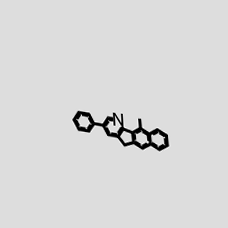 Cc1c2c(cc3ccccc13)Cc1cc(-c3ccccc3)cnc1-2